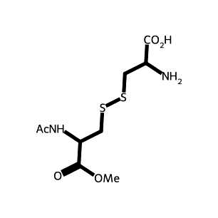 COC(=O)C(CSSCC(N)C(=O)O)NC(C)=O